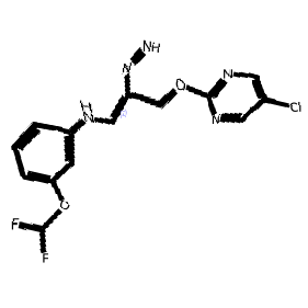 N=N/C(=C\Nc1cccc(OC(F)F)c1)COc1ncc(Cl)cn1